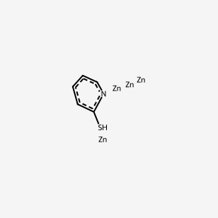 Sc1ccccn1.[Zn].[Zn].[Zn].[Zn]